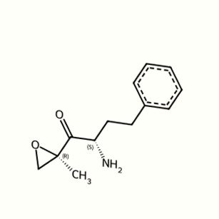 C[C@]1(C(=O)[C@@H](N)CCc2ccccc2)CO1